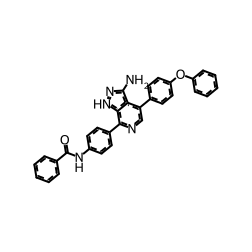 Nc1n[nH]c2c(-c3ccc(NC(=O)c4ccccc4)cc3)ncc(-c3ccc(Oc4ccccc4)cc3)c12